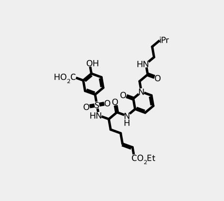 CCOC(=O)C=CCCC(NS(=O)(=O)c1ccc(O)c(C(=O)O)c1)C(=O)Nc1cccn(CC(=O)NCCC(C)C)c1=O